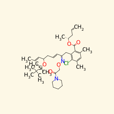 C=CC[C@@H](C)OC(=O)c1c(C)cc(C)c(Cl)c1CC(/C=C/CC(/C=C/C)O[Si](C)(C)C(C)(C)C)=NOCC(=O)N1CCCCC1